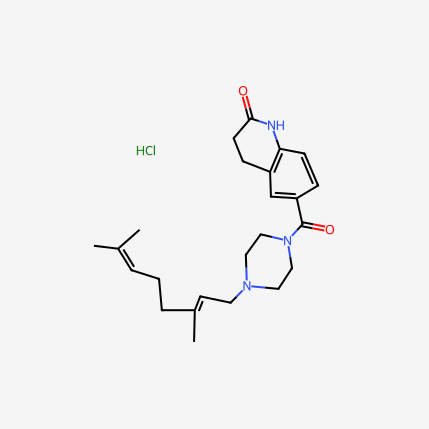 CC(C)=CCC/C(C)=C/CN1CCN(C(=O)c2ccc3c(c2)CCC(=O)N3)CC1.Cl